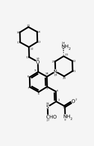 NC(=O)/C(=C/c1cccc(OCC2CCCCC2)c1N1CCC[C@@H](N)C1)SC=O